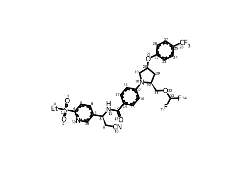 CCS(=O)(=O)c1ccc([C@H](CC#N)NC(=O)c2ccc(N3C[C@@H](Oc4ccc(C(F)(F)F)cc4)C[C@H]3COC(F)F)cc2)cn1